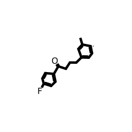 Cc1[c]ccc(CCCC(=O)c2ccc(F)cc2)c1